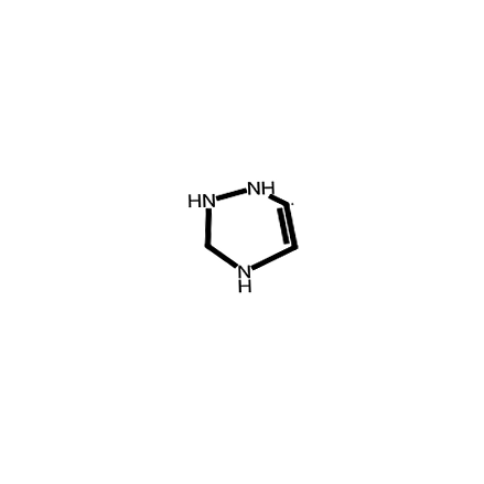 [C]1=CNCNN1